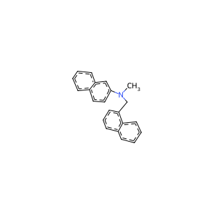 CN(Cc1cccc2ccccc12)c1ccc2ccccc2c1